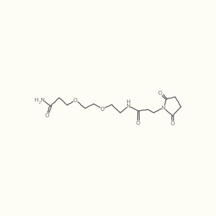 NC(=O)CCOCCOCCNC(=O)CCN1C(=O)CCC1=O